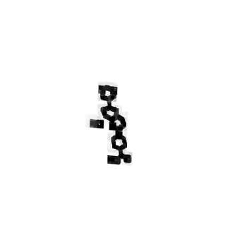 Cl.O=C(O)C1CCN(c2ccc3cc(-c4cncnc4)ccc3n2)CC1